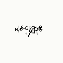 CCC(C)c1ccc(OC(OC(C)C)C(C)(C)c2ccc([N+](=O)[O-])cc2)cc1